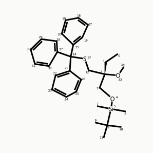 CC[C@@](CO[Si](C)(C)C(C)(C)C)(CSC(c1ccccc1)(c1ccccc1)c1ccccc1)OC